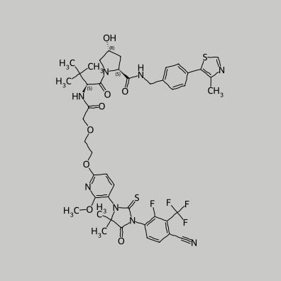 COc1nc(OCCOCC(=O)N[C@H](C(=O)N2C[C@H](O)C[C@H]2C(=O)NCc2ccc(-c3scnc3C)cc2)C(C)(C)C)ccc1N1C(=S)N(c2ccc(C#N)c(C(F)(F)F)c2F)C(=O)C1(C)C